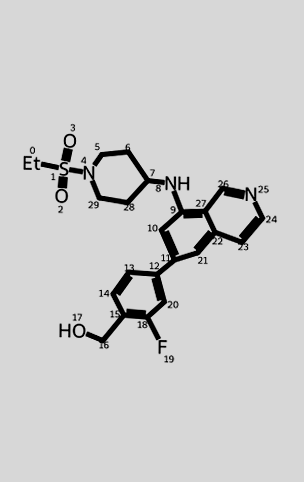 CCS(=O)(=O)N1CCC(Nc2cc(-c3ccc(CO)c(F)c3)cc3ccncc23)CC1